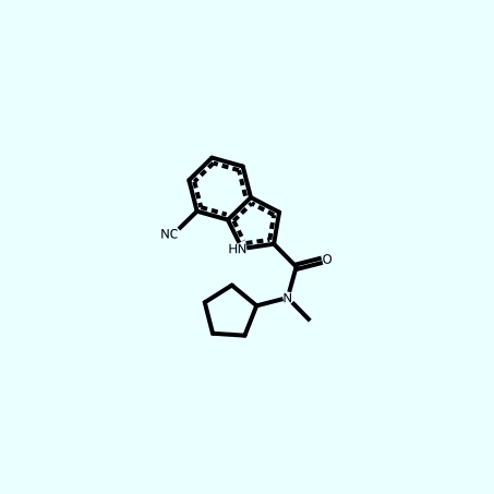 CN(C(=O)c1cc2cccc(C#N)c2[nH]1)C1CCCC1